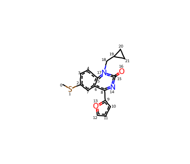 CSc1ccc2c(c1)c(-c1ccco1)nc(=O)n2CC1CC1